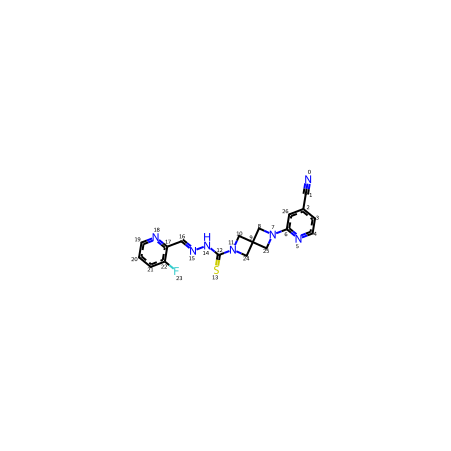 N#Cc1ccnc(N2CC3(CN(C(=S)N/N=C/c4ncccc4F)C3)C2)c1